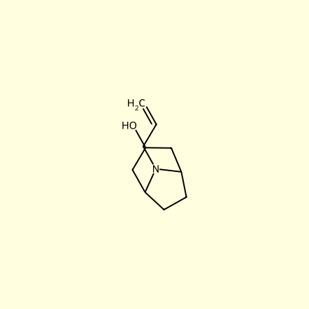 C=CCN1C2CCC1CC(O)C2